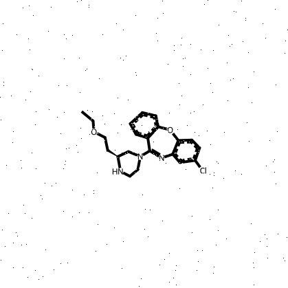 CCOCC[C@H]1CN(C2=Nc3cc(Cl)ccc3Oc3ccccc32)CCN1